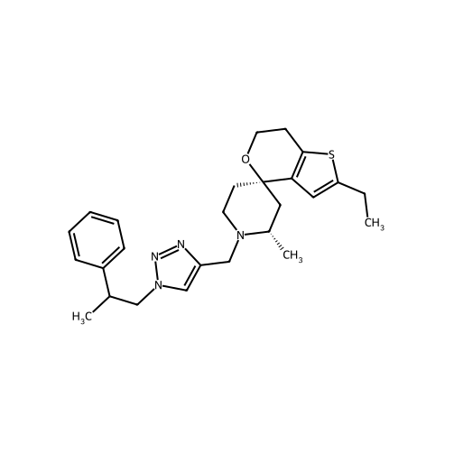 CCc1cc2c(s1)CCO[C@@]21CCN(Cc2cn(CC(C)c3ccccc3)nn2)[C@@H](C)C1